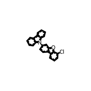 Clc1cccc2c1oc1cc(-n3c4ccccc4c4ccccc43)ccc12